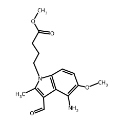 COC(=O)CCCn1c(C)c(C=O)c2c(N)c(OC)ccc21